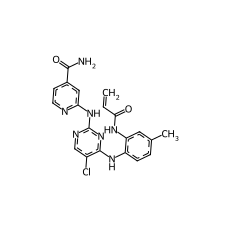 C=CC(=O)Nc1cc(C)ccc1Nc1nc(Nc2cc(C(N)=O)ccn2)ncc1Cl